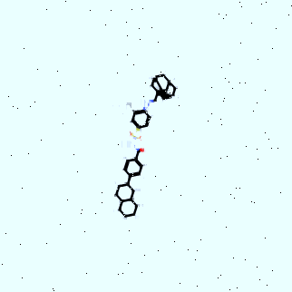 O=C(NS(=O)(=O)c1ccc(NCC23CC4CC(CC(C4)C2)C3)c([N+](=O)[O-])c1)c1ccc(C2CCC3CCCCC3C2)cc1